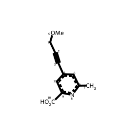 COCC#Cc1cc(C)nc(C(=O)O)c1